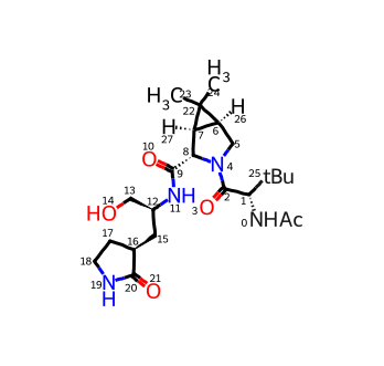 CC(=O)N[C@H](C(=O)N1C[C@H]2[C@@H]([C@H]1C(=O)N[C@H](CO)C[C@@H]1CCNC1=O)C2(C)C)C(C)(C)C